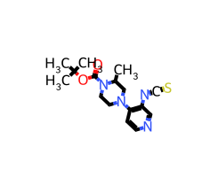 CC1CN(c2ccncc2N=C=S)CCN1C(=O)OC(C)(C)C